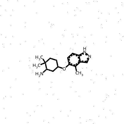 Cc1c(OC2CCC(C)(C)C(N)C2)ccc2[nH]ncc12